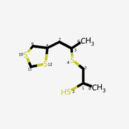 CC(S)CSC(C)CC1CSCS1